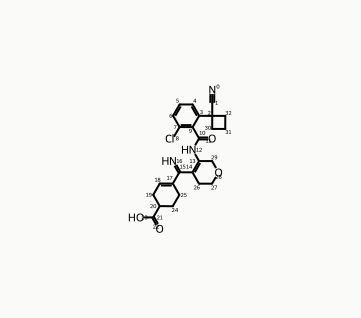 N#CC1(c2cccc(Cl)c2C(=O)NC2=C(C(=N)C3=CCC(C(=O)O)CC3)CCOC2)CCC1